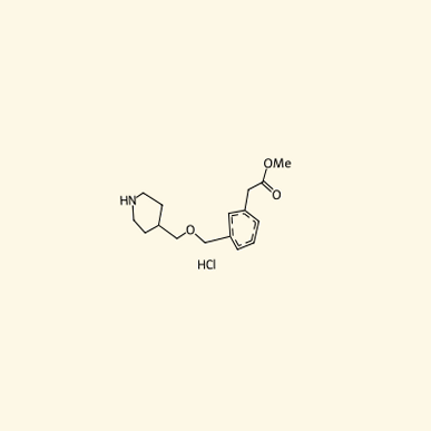 COC(=O)Cc1cccc(COCC2CCNCC2)c1.Cl